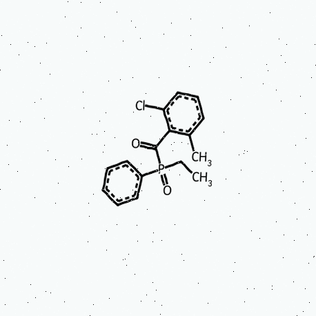 CCP(=O)(C(=O)c1c(C)cccc1Cl)c1ccccc1